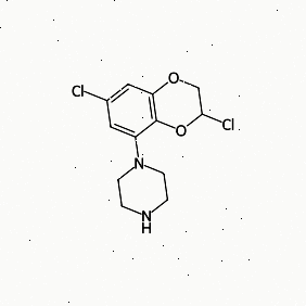 Clc1cc2c(c(N3CCNCC3)c1)OC(Cl)CO2